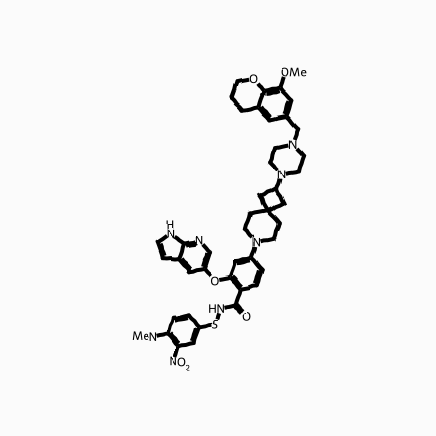 CNc1ccc(SNC(=O)c2ccc(N3CCC4(CC3)CC(N3CCN(Cc5cc6c(c(OC)c5)OCCC6)CC3)C4)cc2Oc2cnc3[nH]ccc3c2)cc1[N+](=O)[O-]